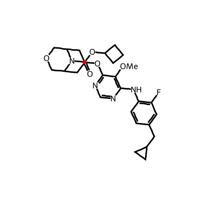 COc1c(Nc2ccc(CC3CC3)cc2F)ncnc1OC1CC2COCC(C1)N2C(=O)OC1CCC1